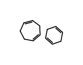 C1=CCC=CC1.C1=CCCC=CC1